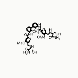 COc1cc(C(=O)Nc2cccc(-c3cccc(NC(=O)c4cc(OC)c(CN[C@H](CO)C(N)=O)cn4)c3C)c2C)ncc1CN[C@H](CO)C(N)=O